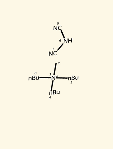 CCCC[N+](C)(CCCC)CCCC.N#CNC#N